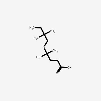 CCC(C)(C)COC(C)(C)CCC(=O)O